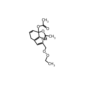 CCOOCc1cc2c([nH]1)C(OC(C)=O)(OC(C)=O)C=CC2